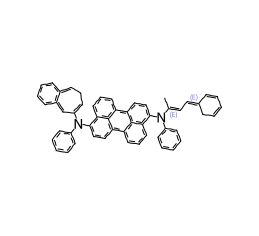 C/C(=C\C=C1\C=CC=CC1)N(c1ccccc1)c1ccc2c3cccc4c(N(C5=CCC=c6ccccc6=C5)c5ccccc5)ccc(c5cccc1c52)c43